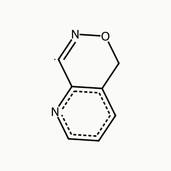 [C]1=NOCc2cccnc21